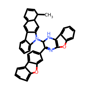 CC1C=CC=C2C=c3c(n(C4Nc5c(oc6ccccc56)N=C4c4ccc5c(c4)oc4ccccc45)c4ccccc34)=CC21